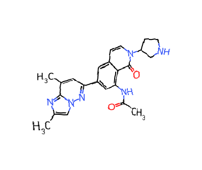 CC(=O)Nc1cc(-c2cc(C)c3nc(C)cn3n2)cc2ccn(C3CCNC3)c(=O)c12